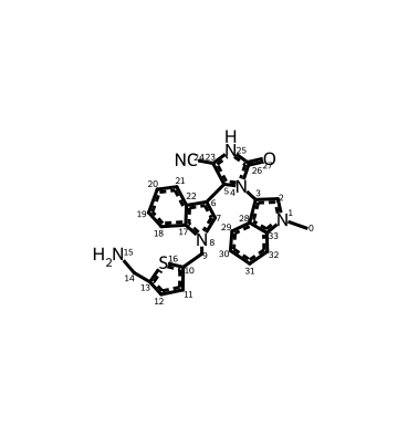 Cn1cc(-n2c(-c3cn(Cc4ccc(CN)s4)c4ccccc34)c(C#N)[nH]c2=O)c2ccccc21